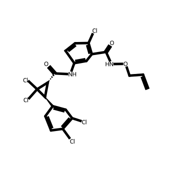 C=CCONC(=O)c1cc(NC(=O)[C@@H]2[C@@H](c3ccc(Cl)c(Cl)c3)C2(Cl)Cl)ccc1Cl